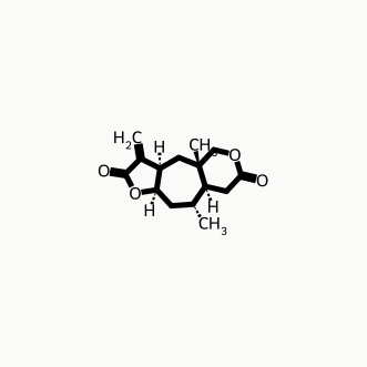 C=C1C(=O)O[C@@H]2C[C@@H](C)[C@@H]3CC(=O)OC[C@@]3(C)C[C@H]12